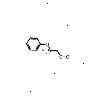 O=[C]C[SiH2]Oc1ccccc1